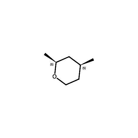 C[C@H]1CCO[C@@H](C)C1